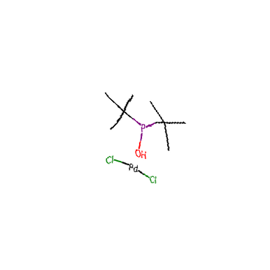 CC(C)(C)P(O)C(C)(C)C.[Cl][Pd][Cl]